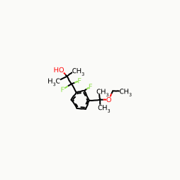 CCOC(C)(C)c1cccc(C(F)(F)C(C)(C)O)c1F